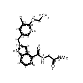 CNC(=O)CNC(=O)c1nccc2nn(Cc3cnc(OCC(F)(F)F)c(C)c3)cc12